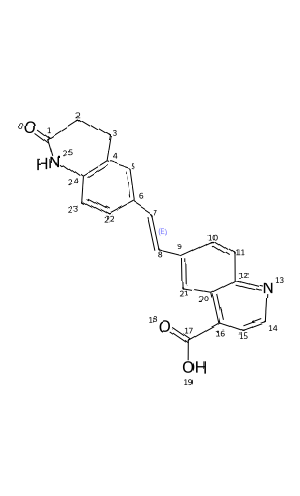 O=C1CCc2cc(/C=C/c3ccc4nccc(C(=O)O)c4c3)ccc2N1